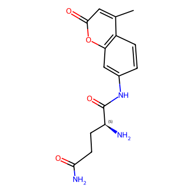 Cc1cc(=O)oc2cc(NC(=O)[C@@H](N)CCC(N)=O)ccc12